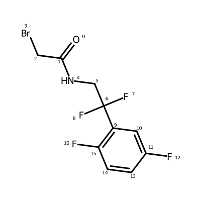 O=C(CBr)NCC(F)(F)c1cc(F)ccc1F